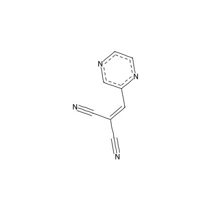 N#CC(C#N)=Cc1cnccn1